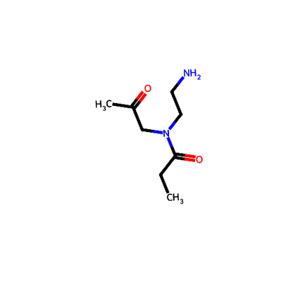 CCC(=O)N(CCN)CC(C)=O